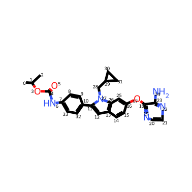 CC(C)OC(=O)Nc1ccc(-c2cc3ccc(Oc4nccnc4N)cc3n2CC2CC2)cc1